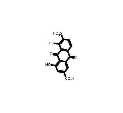 O=C(O)c1cc(O)c2c(c1)C(=O)c1ccc(S(=O)(=O)O)c(O)c1C2=O